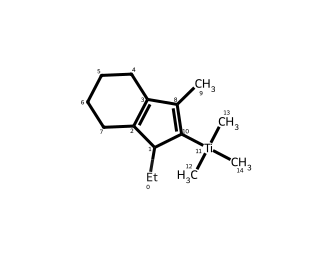 CCC1C2=C(CCCC2)C(C)=[C]1[Ti]([CH3])([CH3])[CH3]